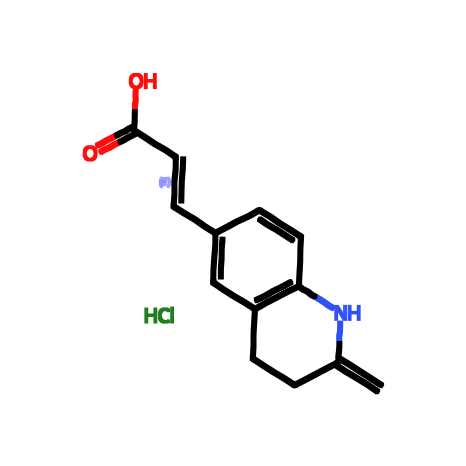 C=C1CCc2cc(/C=C/C(=O)O)ccc2N1.Cl